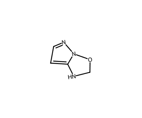 c1cc2n(n1)OCN2